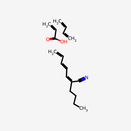 C=CC(=O)O.C=CC=C.C=CC=CC=C(C#N)CCCC